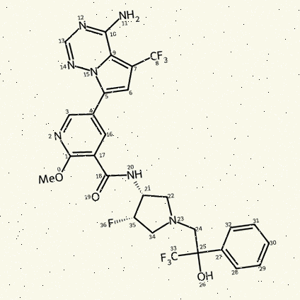 COc1ncc(-c2cc(C(F)(F)F)c3c(N)ncnn23)cc1C(=O)N[C@@H]1CN(CC(O)(c2ccccc2)C(F)(F)F)C[C@@H]1F